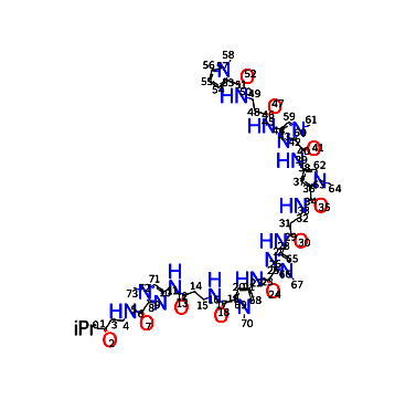 CC(C)C(=O)CCNC(=O)c1nc(NC(=O)CCNC(=O)c2cc(NC(=O)c3nc(NC(=O)CCNC(=O)c4cc(NC(=O)c5nc(NC(=O)CCNC(=O)c6cccn6C)cn5C)cn4C)cn3C)cn2C)cn1C